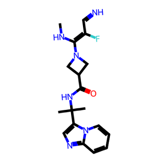 CN/C(=C(/F)C=N)N1CC(C(=O)NC(C)(C)c2cnc3ccccn23)C1